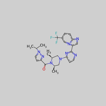 CC(C)n1ccc(C(=O)N2[C@H](C)CN(c3ccnc(-c4cnc5ccc(C(F)(F)F)cn45)n3)C[C@@H]2C)n1